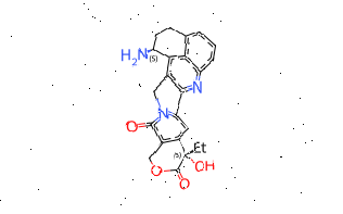 CC[C@@]1(O)C(=O)OCc2c1cc1n(c2=O)Cc2c-1nc1cccc3c1c2[C@@H](N)CC3